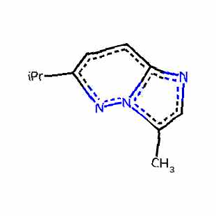 Cc1cnc2ccc(C(C)C)nn12